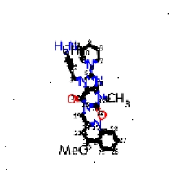 CC#CCn1c(N2CCC[C@@H](N)C2)nc2c1c(=O)n(Cc1cc(OC)c3ccccc3n1)c(=O)n2C